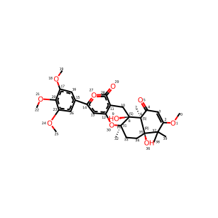 COC1=CC(=O)[C@]2(C)[C@@]3(O)Cc4c(cc(-c5cc(OC)c(OC)c(OC)c5)oc4=O)O[C@]3(C)CC[C@@]2(O)C1(C)C